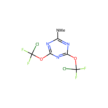 CNc1nc(OC(F)(F)Cl)nc(OC(F)(F)Cl)n1